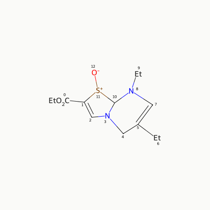 CCOC(=O)C1=CN2CC(CC)=CN(CC)C2[S+]1[O-]